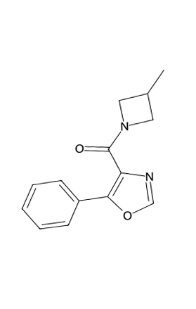 CC1CN(C(=O)c2ncoc2-c2ccccc2)C1